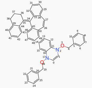 C1=CN(OCc2ccccc2)c2ccccc2N1OCc1ccccc1.C1=Cc2ccccc2C(=C2CCCc3ccccc32)c2ccccc21